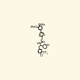 COc1ccc(-c2cnc(SCC(=O)NC(Cc3ccc(Cl)c(C(F)(F)F)c3)C3CCCNC3)nc2)cc1OC